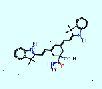 CCCNC(=O)C1(C(=O)O)CC(/C=C/C2=[N+](CC)c3ccccc3C2(C)C)=CC(=C/C=C2/N(CC)c3ccccc3C2(C)C)/C1